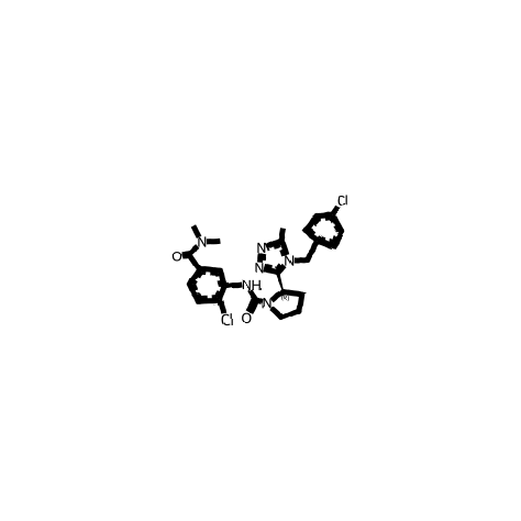 Cc1nnc([C@H]2CCCN2C(=O)Nc2cc(C(=O)N(C)C)ccc2Cl)n1Cc1ccc(Cl)cc1